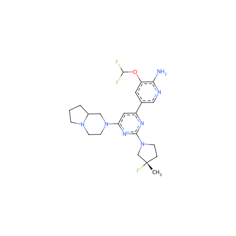 C[C@]1(F)CCN(c2nc(-c3cnc(N)c(OC(F)F)c3)cc(N3CCN4CCCC4C3)n2)C1